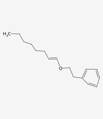 CCCCCCC=COCCc1ccccc1